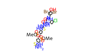 COS(=O)(=O)c1cc(NC(N)=S)ccc1/C=C/c1ccc(NC(=S)NNC(=O)C(Nc2ccc(Cl)cc2)C(=O)N/N=C/c2cc(Br)c(O)c(Br)c2)cc1S(=O)(=O)OC